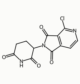 O=C1CCC(N2C(=O)c3ccnc(Cl)c3C2=O)C(=O)N1